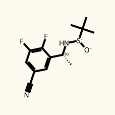 C[C@@H](N[S+]([O-])C(C)(C)C)c1cc(C#N)cc(F)c1F